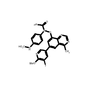 CCCC(=O)N(Oc1cc(-c2cnc(OC)c(F)c2)cc2c(C)ncnc12)c1ccc(NC(=O)O)cc1